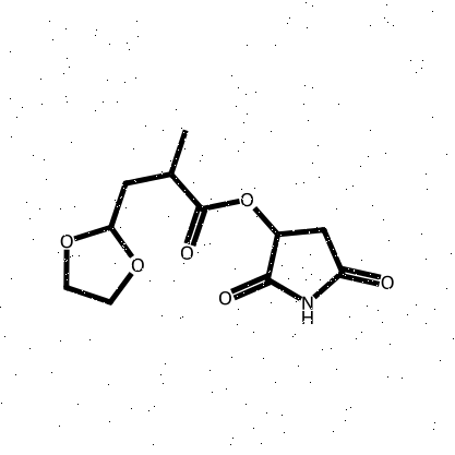 CC(CC1OCCO1)C(=O)OC1CC(=O)NC1=O